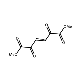 COC(=O)C(=O)C=CC(=O)C(=O)OC